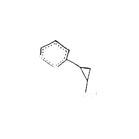 O=C(O)C1CC1c1cccnn1